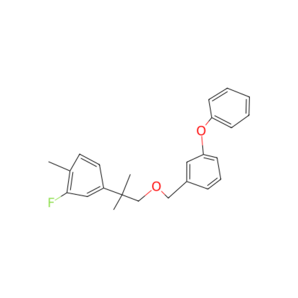 Cc1ccc(C(C)(C)COCc2cccc(Oc3ccccc3)c2)cc1F